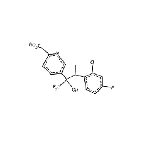 CC(c1ccc(F)cc1Cl)C(O)(c1ccc(C(=O)O)nc1)C(F)(F)F